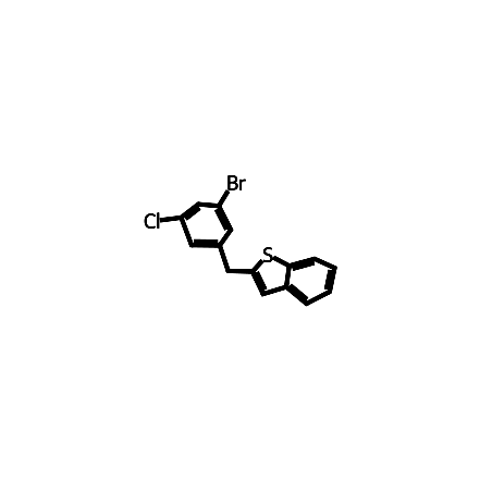 Clc1cc(Br)cc(Cc2cc3ccccc3s2)c1